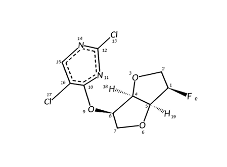 F[C@@H]1CO[C@H]2[C@@H]1OC[C@H]2Oc1nc(Cl)ncc1Cl